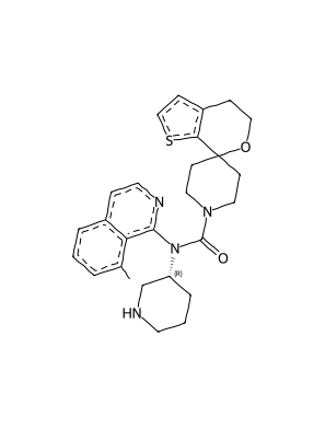 Cc1cccc2ccnc(N(C(=O)N3CCC4(CC3)OCCc3ccsc34)[C@@H]3CCCNC3)c12